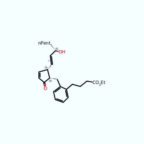 CCCCC[C@H](O)/C=C/[C@H]1C=CC(=O)[C@H]1Cc1ccccc1CCCC(=O)OCC